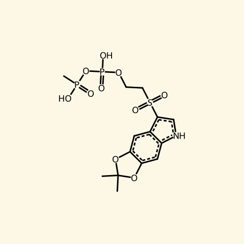 CC1(C)Oc2cc3[nH]cc(S(=O)(=O)CCOP(=O)(O)OP(C)(=O)O)c3cc2O1